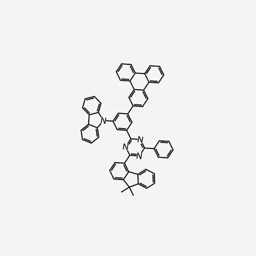 CC1(C)c2ccccc2-c2c(-c3nc(-c4ccccc4)nc(-c4cc(-c5ccc6c7ccccc7c7ccccc7c6c5)cc(-n5c6ccccc6c6ccccc65)c4)n3)cccc21